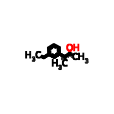 CCc1cccc([C@H](C)[C@H](C)O)c1